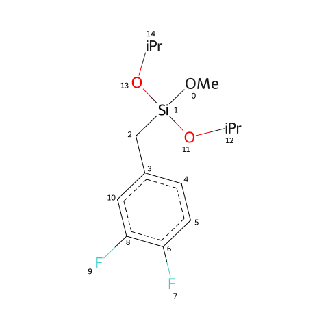 CO[Si](Cc1ccc(F)c(F)c1)(OC(C)C)OC(C)C